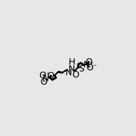 O=C(N/N=C/C=C/c1ccc([N+](=O)[O-])o1)c1ccc([N+](=O)[O-])s1